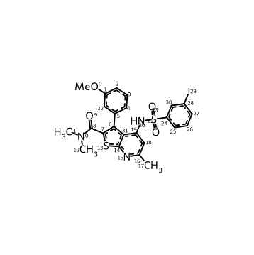 COc1cccc(-c2c(C(=O)N(C)C)sc3nc(C)cc(NS(=O)(=O)c4cccc(I)c4)c23)c1